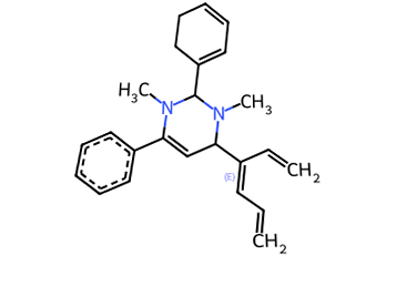 C=C/C=C(\C=C)C1C=C(c2ccccc2)N(C)C(C2=CC=CCC2)N1C